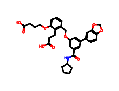 O=C(O)CCCOc1cccc(COc2cc(C(=O)NC3CCCC3)cc(-c3ccc4c(c3)OCO4)c2)c1CCC(=O)O